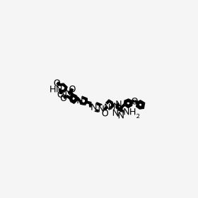 Nc1ncnc2c1c(-c1ccc(Oc3ccccc3)cc1)nn2[C@@H]1CCCN(C(=O)N2CCN(CCC3CCN(c4ccc5c(c4)C(=O)N(C4CCC(=O)NC4=O)C5=O)CC3)CC2)C1